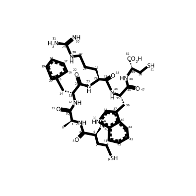 C[C@H](NC(=O)[C@@H](N)CCS)C(=O)N[C@H](Cc1ccccc1)C(=O)N[C@@H](CCCNC(=N)N)C(=O)N[C@@H](Cc1c[nH]c2ccccc12)C(=O)N[C@@H](CS)C(=O)O